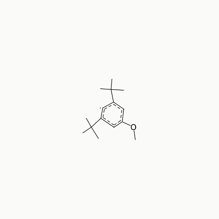 COc1cc(C(C)(C)C)[c]c(C(C)(C)C)c1